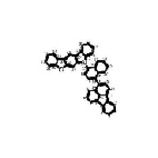 c1ccc2c(c1)-c1cccc3c(-c4ccc(-n5c6ccccc6c6cc7c(cc65)oc5ccccc57)c5ccccc45)ccc-2c13